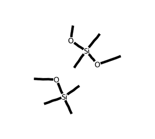 CO[Si](C)(C)C.CO[Si](C)(C)OC